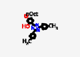 CCCCCCCCOc1ccc(-c2nc(-c3ccc(C)cc3)nc(-c3ccc(C)cc3)n2)c(O)c1